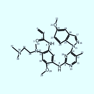 C=CC(=O)Nc1cc(Nc2ncc(C)c(-n3ncc4cc(OC)ccc43)n2)c(OC)cc1N(C)CCN(C)C